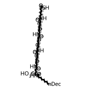 CCCCCCCCCCCCCCCCCC(=O)N[C@@H](CCC(=O)NCCOCCOCC(=O)NCCOCCOCC(=O)NCCOCCOCC(=O)NCCCCCC(=O)S)C(=O)O